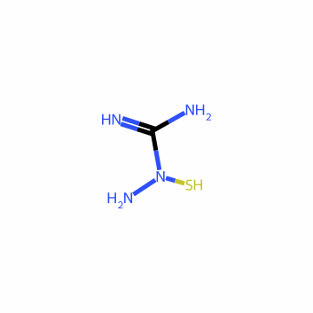 N=C(N)N(N)S